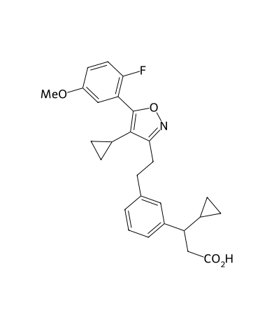 COc1ccc(F)c(-c2onc(CCc3cccc(C(CC(=O)O)C4CC4)c3)c2C2CC2)c1